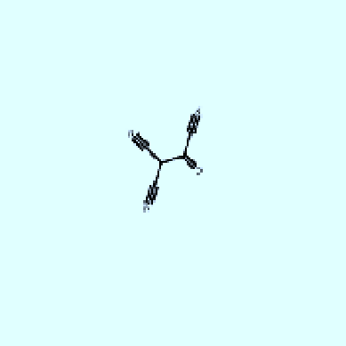 N#CC(=O)C(C#N)C#N